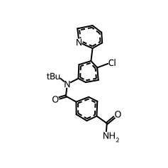 CC(C)(C)N(C(=O)c1ccc(C(N)=O)cc1)c1ccc(Cl)c(-c2ccccn2)c1